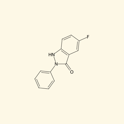 O=c1c2cc(F)ccc2[nH]n1-c1ccccc1